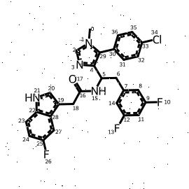 Cn1cnc(C(Cc2cc(F)cc(F)c2)NC(=O)Cc2c[nH]c3ccc(F)cc23)c1-c1ccc(Cl)cc1